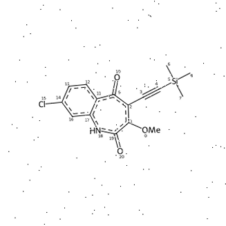 COc1c(C#C[Si](C)(C)C)c(=O)c2ccc(Cl)cc2[nH]c1=O